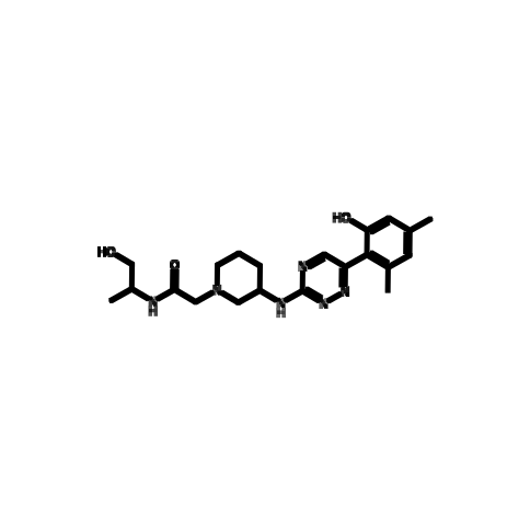 Cc1cc(C)c(-c2cnc(NC3CCCN(CC(=O)NC(C)CO)C3)nn2)c(O)c1